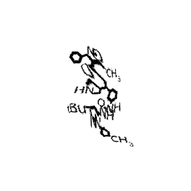 Cc1ccc(-n2nc(C(C)(C)C)cc2NC(=O)Nc2cccc(C(CC(=O)c3c(-c4ccccc4)noc3C)C3CCNCC3)c2)cc1